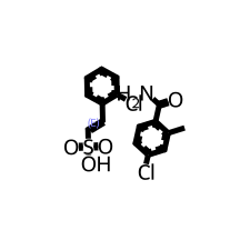 Cc1cc(Cl)ccc1C(N)=O.O=S(=O)(O)/C=C/c1ccccc1Cl